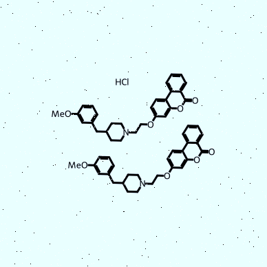 COc1cccc(CC2CCN(CCOc3ccc4c(c3)oc(=O)c3ccccc34)CC2)c1.COc1cccc(CC2CCN(CCOc3ccc4c(c3)oc(=O)c3ccccc34)CC2)c1.Cl